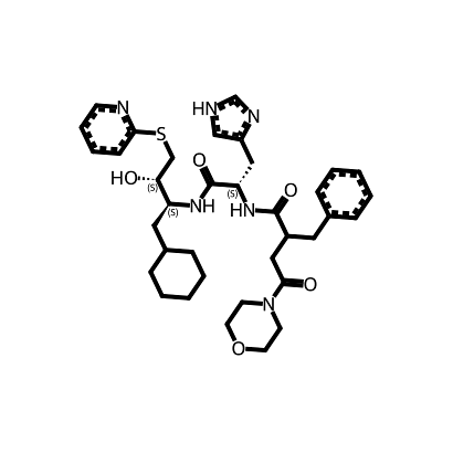 O=C(N[C@@H](Cc1c[nH]cn1)C(=O)N[C@@H](CC1CCCCC1)[C@H](O)CSc1ccccn1)C(CC(=O)N1CCOCC1)Cc1ccccc1